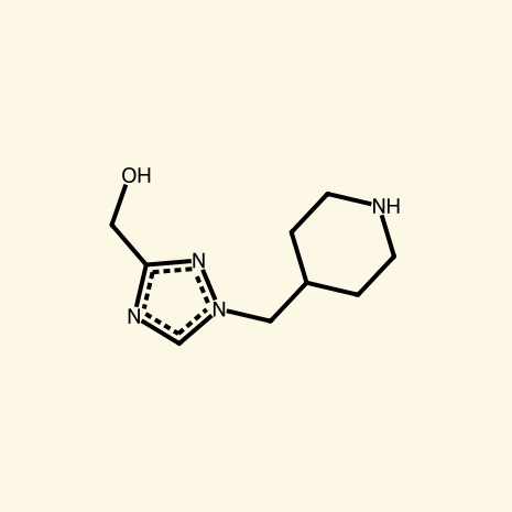 OCc1ncn(CC2CCNCC2)n1